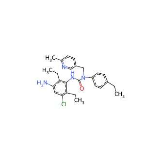 CCc1ccc(N(Cc2ccc(C)nc2)C(=O)Nc2c(CC)c(N)cc(Cl)c2CC)cc1